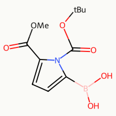 COC(=O)c1ccc(B(O)O)n1C(=O)OC(C)(C)C